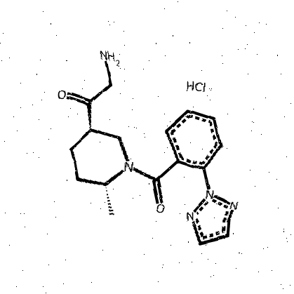 C[C@@H]1CC[C@@H](C(=O)CN)CN1C(=O)c1ccccc1-n1nccn1.Cl